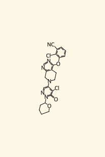 N#Cc1cccc(Oc2ncnc3c2CCN(c2cnn(C4CCCCO4)c(=O)c2Cl)C3)c1Cl